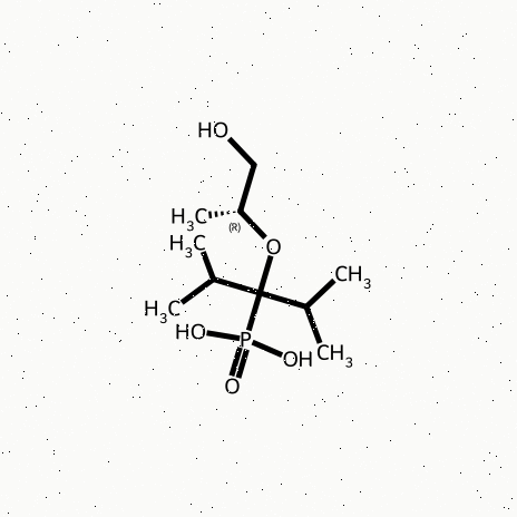 CC(C)C(O[C@H](C)CO)(C(C)C)P(=O)(O)O